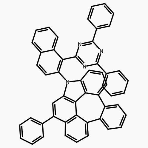 c1ccc(-c2nc(-c3ccccc3)nc(-c3c(-n4c5cccc6c5c5c7c(cccc7c(-c7ccccc7)cc54)-c4ccccc4-6)ccc4ccccc34)n2)cc1